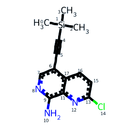 C[Si](C)(C)C#Cc1cnc(N)c2nc(Cl)ccc12